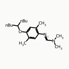 CCCCC(CCCC)Oc1cc(C)c(/N=C/N(C)C)cc1C